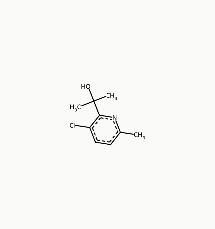 Cc1ccc(Cl)c(C(C)(C)O)n1